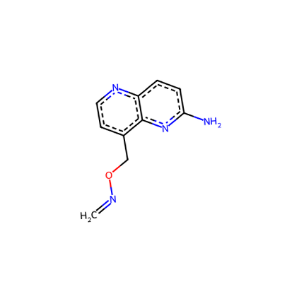 C=NOCc1ccnc2ccc(N)nc12